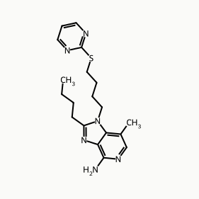 CCCCc1nc2c(N)ncc(C)c2n1CCCCSc1ncccn1